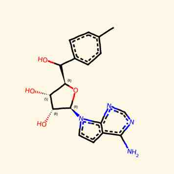 Cc1ccc(C(O)[C@H]2O[C@@H](n3ccc4c(N)ncnc43)[C@H](O)[C@@H]2O)cc1